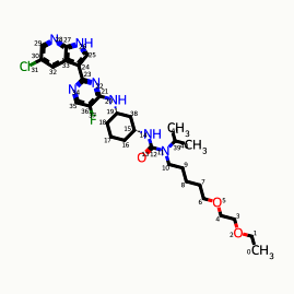 CCOCCOCCCCCN(C(=O)N[C@@H]1CCC[C@H](Nc2nc(-c3c[nH]c4ncc(Cl)cc34)ncc2F)C1)C(C)C